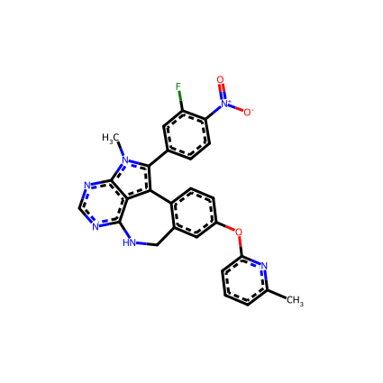 Cc1cccc(Oc2ccc3c(c2)CNc2ncnc4c2c-3c(-c2ccc([N+](=O)[O-])c(F)c2)n4C)n1